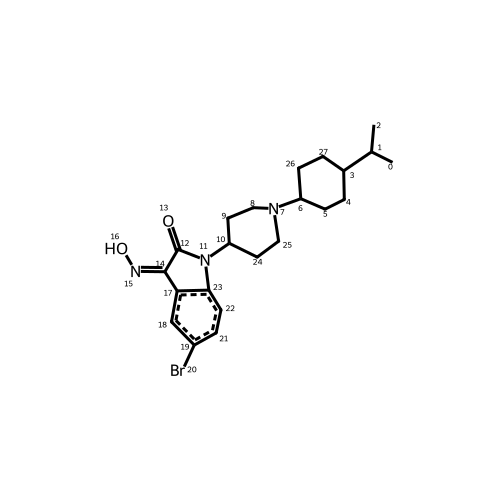 CC(C)C1CCC(N2CCC(N3C(=O)C(=NO)c4cc(Br)ccc43)CC2)CC1